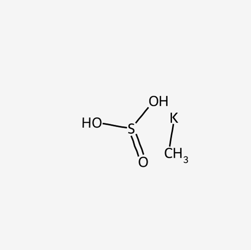 O=S(O)O.[CH3][K]